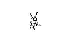 C=CCOc1ccc(C2N3C(=O)C4(C)SSC3(C[C@]2(C)C#N)C(=O)N4C)cc1OCC=C